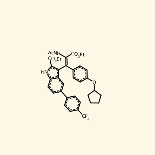 CCOC(=O)C(NC(C)=O)=C(c1ccc(OC2CCCC2)cc1)c1c(C(=O)OCC)[nH]c2ccc(-c3ccc(C(F)(F)F)cc3)cc12